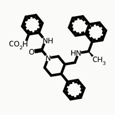 C[C@@H](NCC1CN(C(=O)Nc2ccccc2C(=O)O)CCC1c1ccccc1)c1cccc2ccccc12